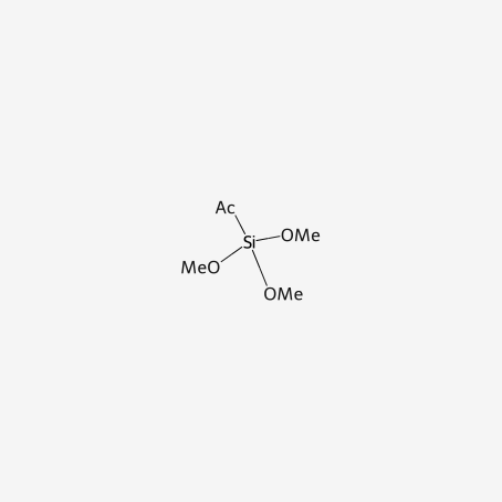 CO[Si](OC)(OC)C(C)=O